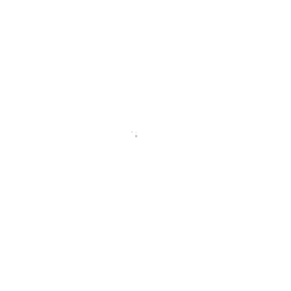 CC(C)C1CCN(CC(C)(C)C)CC1